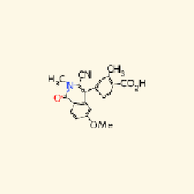 COc1ccc2c(=O)n(C)c(C#N)c(-c3ccc(C(=O)O)c(C)c3)c2c1